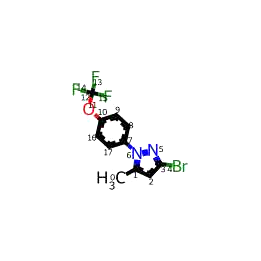 Cc1cc(Br)nn1-c1ccc(OC(F)(F)F)cc1